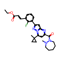 CCOC(=O)/C=C/c1cccc(-c2cc3nc(C(=O)N4CCCCCN4C)cc(C4(C)CC4)n3n2)c1F